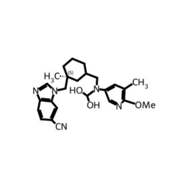 COc1ncc(N(CC2CCC[C@](C)(Cn3cnc4ccc(C#N)cc43)C2)C(O)O)cc1C